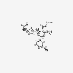 CCOC(=O)c1c(NC)nc(-c2cccc(C#N)c2)nc1O[C@@H]1CCC(NC(C)=O)C1